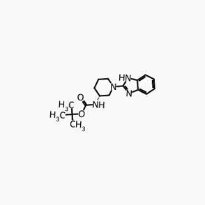 CC(C)(C)OC(=O)N[C@@H]1CCCN(c2nc3ccccc3[nH]2)C1